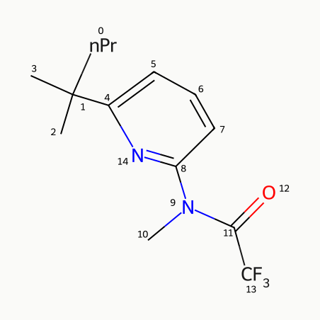 CCCC(C)(C)c1cccc(N(C)C(=O)C(F)(F)F)n1